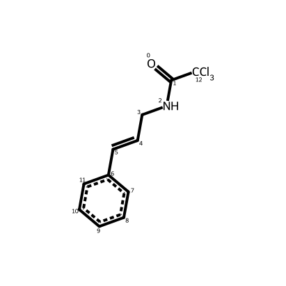 O=C(NC/C=C/c1ccccc1)C(Cl)(Cl)Cl